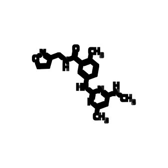 CNc1cc(C)nc(Nc2ccc(C)c(C(=O)NCc3ccon3)c2)n1